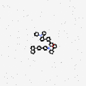 C1=CC2C=CC=C(c3ccc(-c4ccc(N(c5cccc(-c6cccc(-c7cccc8c7c7ccccc7n8-c7ccccc7)c6)c5)c5ccccc5-c5ccccc5)cc4)cc3)C2C=C1